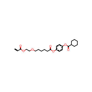 C=CC(=O)OCCOCCCCCC(=O)Oc1ccc(OC(=O)C2CCCCC2)cc1